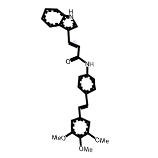 COc1cc(C=Cc2ccc(NC(=O)/C=C/c3c[nH]c4ccccc34)cc2)cc(OC)c1OC